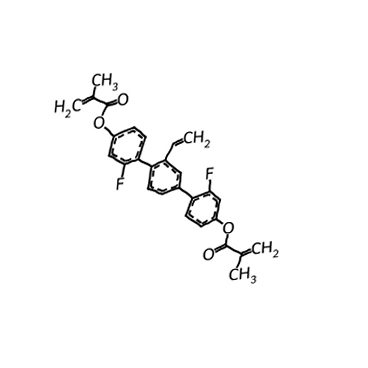 C=Cc1cc(-c2ccc(OC(=O)C(=C)C)cc2F)ccc1-c1ccc(OC(=O)C(=C)C)cc1F